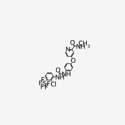 CNC(=O)c1cc(Oc2ccc(NC(=O)Nc3cccc(S(F)(F)(F)(F)F)c3Cl)cc2)ccn1